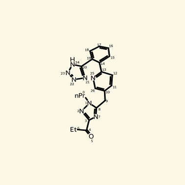 CCCn1nc(C(=O)CC)nc1Cc1ccc(-c2ccccc2-c2nnn[nH]2)nc1